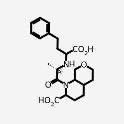 C[C@H](NC(CCc1ccccc1)C(=O)O)C(=O)N1C(C(=O)O)CCC2CCOCC21